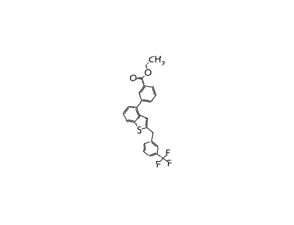 CCOC(=O)c1cccc(-c2cccc3sc(Cc4cccc(C(F)(F)F)c4)cc23)c1